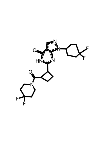 O=C(C1CCC1c1nc2c(cnn2C2CCC(F)(F)CC2)c(=O)[nH]1)N1CCC(F)(F)CC1